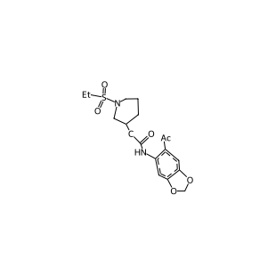 CCS(=O)(=O)N1CCCC(CC(=O)Nc2cc3c(cc2C(C)=O)OCO3)C1